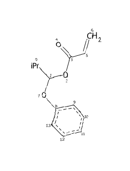 [CH2]C(C)C(OC(=O)C=C)Oc1ccccc1